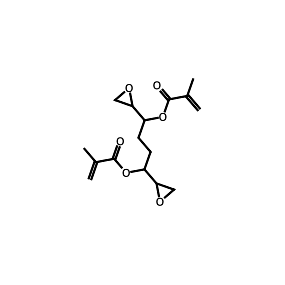 C=C(C)C(=O)OC(CCC(OC(=O)C(=C)C)C1CO1)C1CO1